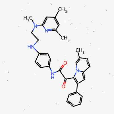 Cc1cc(C)nc(N(C)CCNc2ccc(NC(=O)C(=O)c3c(-c4ccccc4)cc4ccc(C)cn34)cc2)c1